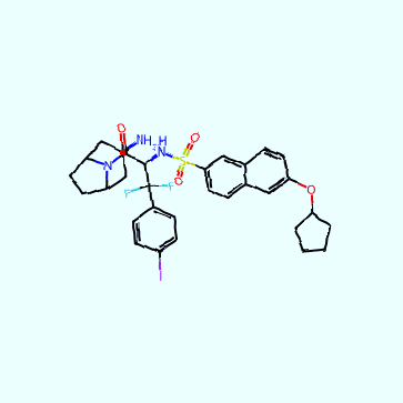 NC1CC2CCC(C1)N2C(=O)[C@@H](NS(=O)(=O)c1ccc2cc(OC3CCCC3)ccc2c1)C(F)(F)c1ccc(I)cc1